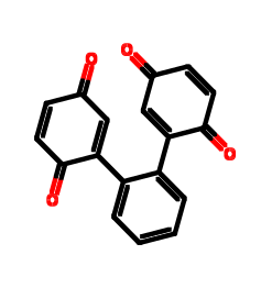 O=C1C=CC(=O)C(c2ccccc2C2=CC(=O)C=CC2=O)=C1